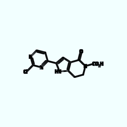 O=C(O)N1CCc2[nH]c(-c3ccnc(Cl)n3)cc2C1=O